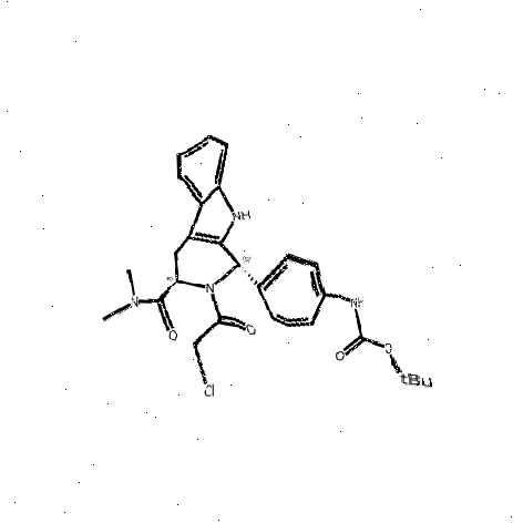 CN(C)C(=O)[C@H]1Cc2c([nH]c3ccccc23)[C@H](c2ccc(NC(=O)OC(C)(C)C)cc2)N1C(=O)CCl